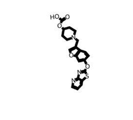 O=C(O)OC1CCN(Cc2coc3cc(Oc4nc5ncccc5s4)ccc23)CC1